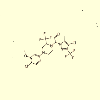 COc1cc(N2CCN(C(C=O)n3nc(C(F)(F)F)c(Cl)c3C)C(C(F)(F)F)C2)ccc1Cl